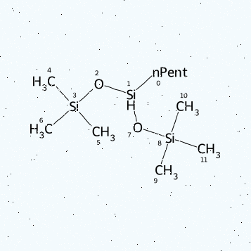 CCCCC[SiH](O[Si](C)(C)C)O[Si](C)(C)C